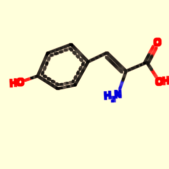 NC(=Cc1ccc(O)cc1)C(=O)O